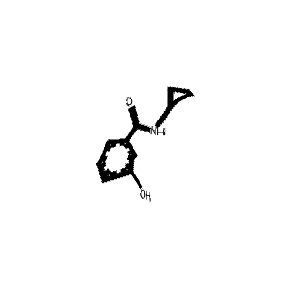 O=C(NC1CC1)c1cccc(O)c1